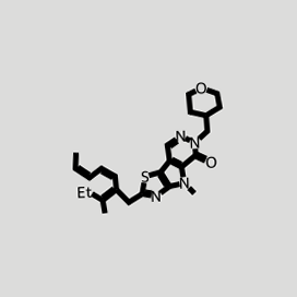 C\C=C/C=C\C(Cc1nc2c(s1)c1cnn(CC3CCOCC3)c(=O)c1n2C)=C(\C)CC